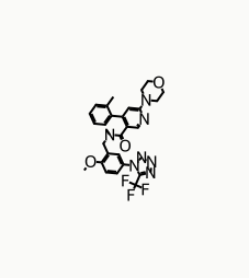 COc1ccc(-n2nnnc2C(F)(F)F)cc1CN(C)C(=O)c1cnc(N2CCOCC2)cc1-c1ccccc1C